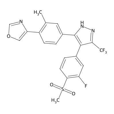 Cc1cc(-c2[nH]nc(C(F)(F)F)c2-c2ccc(S(C)(=O)=O)c(F)c2)ccc1-c1cocn1